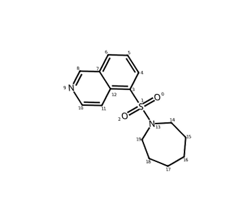 O=S(=O)(c1cccc2cnccc12)N1CCCCCC1